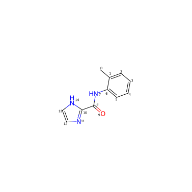 Cc1ccccc1NC(=O)c1ncc[nH]1